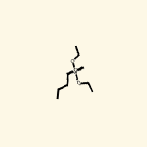 CCC[CH][Si](C)(OCC)OCC